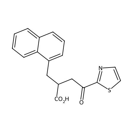 O=C(CC(Cc1cccc2ccccc12)C(=O)O)c1nccs1